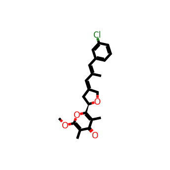 COc1oc([C@H]2C/C(=C/C(C)=C/c3cccc(Cl)c3)CO2)c(C)c(=O)c1C